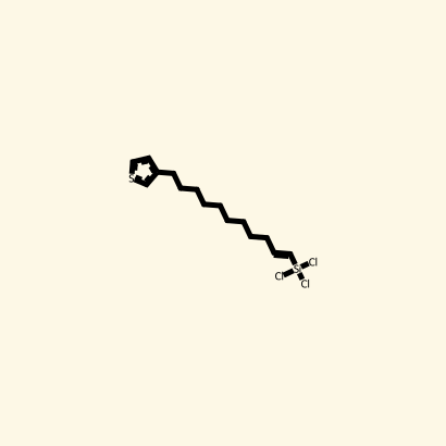 Cl[Si](Cl)(Cl)C=CCCCCCCCCCc1ccsc1